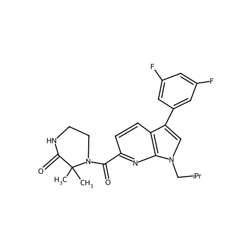 CC(C)Cn1cc(-c2cc(F)cc(F)c2)c2ccc(C(=O)N3CCNC(=O)C3(C)C)nc21